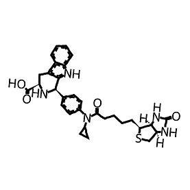 O=C1N[C@H]2[C@H](CS[C@H]2CCCCC(=O)N(c2ccc([C@H]3N[C@@H](C(=O)O)Cc4c3[nH]c3ccccc43)cc2)C2CC2)N1